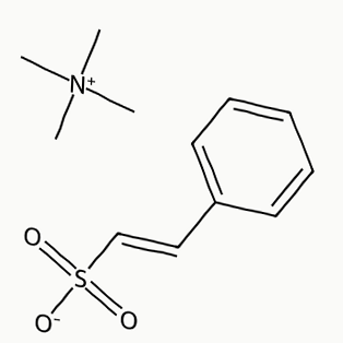 C[N+](C)(C)C.O=S(=O)([O-])C=Cc1ccccc1